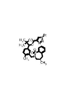 CCn1cc(COC(c2ccc(C)c(CN3C[C@@H](C)Cc4ccccc4S3(=O)=O)c2)C(C)(C)C(=O)O)nn1